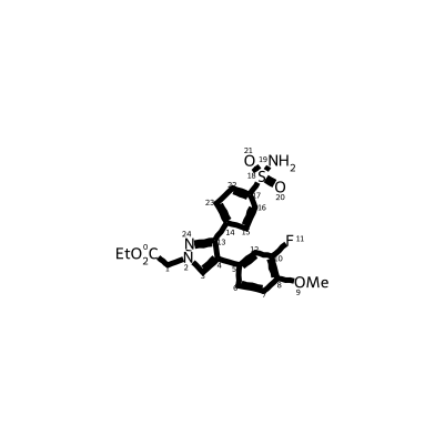 CCOC(=O)Cn1cc(-c2ccc(OC)c(F)c2)c(-c2ccc(S(N)(=O)=O)cc2)n1